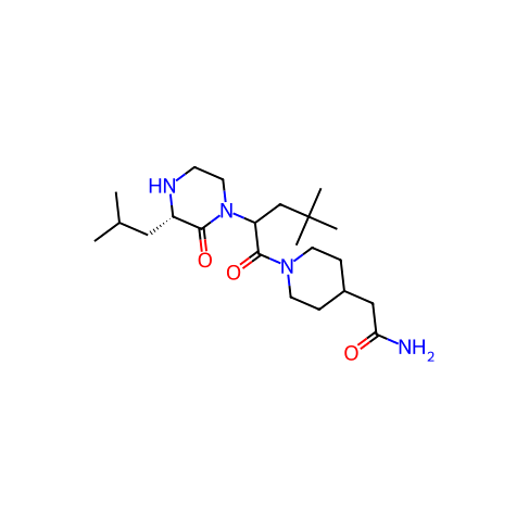 CC(C)C[C@@H]1NCCN(C(CC(C)(C)C)C(=O)N2CCC(CC(N)=O)CC2)C1=O